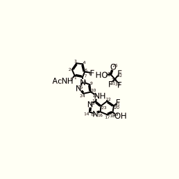 CC(=O)Nc1cccc(F)c1-n1cc(Nc2ncnc3cc(O)c(F)cc23)cn1.O=C(O)C(F)(F)F